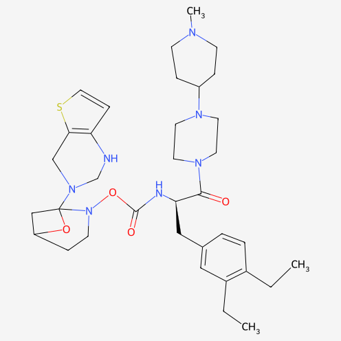 CCc1ccc(C[C@@H](NC(=O)ON2CCC3CC2(N2CNc4ccsc4C2)O3)C(=O)N2CCN(C3CCN(C)CC3)CC2)cc1CC